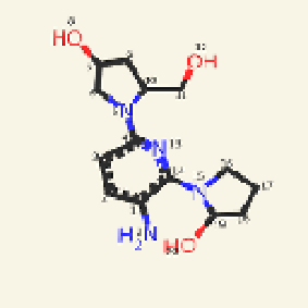 Nc1ccc(N2CC(O)CC2CO)nc1N1CCCC1O